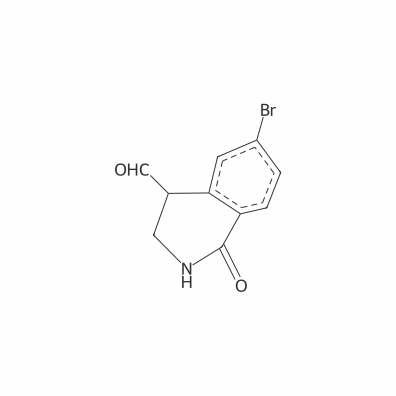 O=CC1CNC(=O)c2ccc(Br)cc21